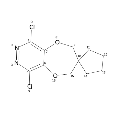 Clc1nnc(Cl)c2c1OCC1(CCCC1)CO2